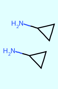 NC1CC1.NC1CC1